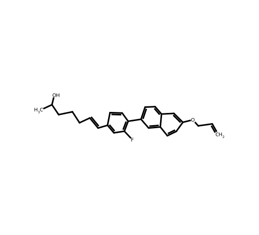 C=CCOc1ccc2cc(-c3ccc(C=CCCCC(C)O)cc3F)ccc2c1